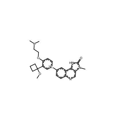 COC1(c2c[13c](-c3ccc4ncc5c([nH]c(=O)n5C)c4c3)ccc2OCCN(C)C)CCC1